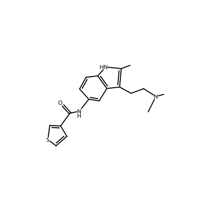 Cc1[nH]c2ccc(NC(=O)c3ccsc3)cc2c1CCN(C)C